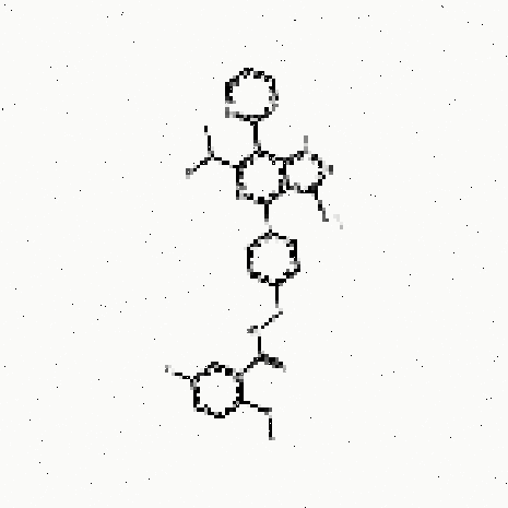 COc1ccc(F)cc1C(=O)NCc1ccc(-c2nc(C(F)F)c(-c3ncccn3)c3[nH]nc(N)c23)cc1